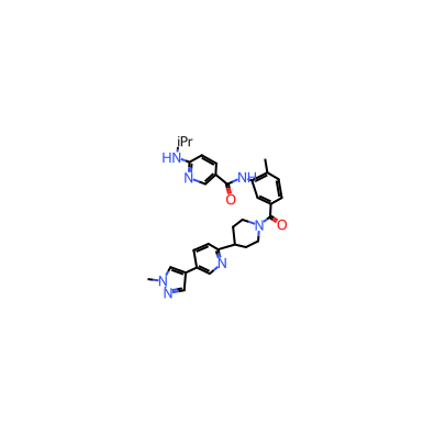 Cc1ccc(C(=O)N2CCC(c3ccc(-c4cnn(C)c4)cn3)CC2)cc1NC(=O)c1ccc(NC(C)C)nc1